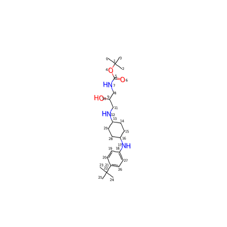 CC(C)(C)OC(=O)NCC(O)CNC1CCC(Nc2ccc(C(C)(C)C)cc2)CC1